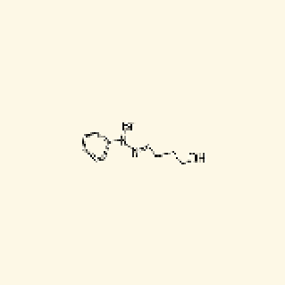 OCCCC=NN(Br)c1ccccc1